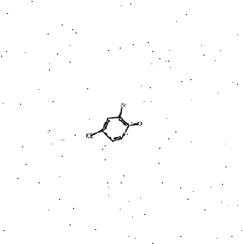 [O]c1ccc(Cl)cc1Br